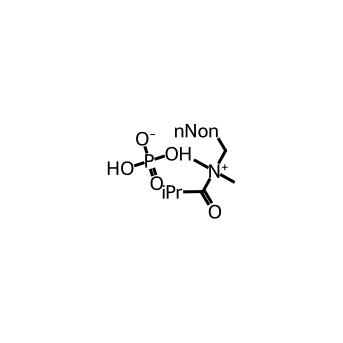 CCCCCCCCCC[N+](C)(C)C(=O)C(C)C.O=P([O-])(O)O